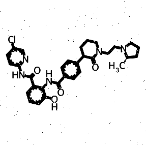 C[C@H]1CCCN1CCN1CCCC(c2ccc(C(=O)Nc3c(O)cccc3C(=O)Nc3ccc(Cl)cn3)cc2)C1=O